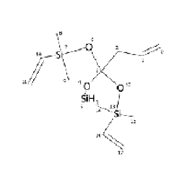 C=CCC(O[SiH3])(O[Si](C)(C)C=C)O[Si](C)(C)C=C